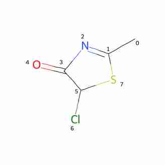 CC1=NC(=O)C(Cl)S1